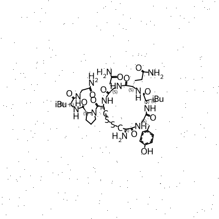 CC[C@H](C)[C@@H]1NC(=O)[C@H](Cc2ccc(O)cc2)NC(=O)[C@@H](N)CSSC[C@@H](C(=O)N2CCC[C@H]2C(=O)N[C@H](C(=O)NCC(N)=O)[C@@H](C)CC)NC(=O)[C@H](CC(N)=O)NC(=O)[C@H](CCC(N)=O)NC1=O